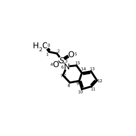 C=CCS(=O)(=O)N1[C]Cc2ccccc2C1